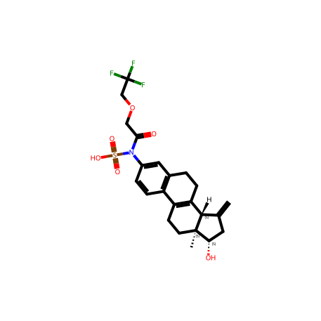 C=C1C[C@H](O)[C@@]2(C)CCC3=C(CCc4cc(N(C(=O)COCC(F)(F)F)S(=O)(=O)O)ccc43)[C@H]12